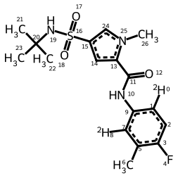 [2H]c1cc(F)c(C)c([2H])c1NC(=O)c1cc(S(=O)(=O)NC(C)(C)C)cn1C